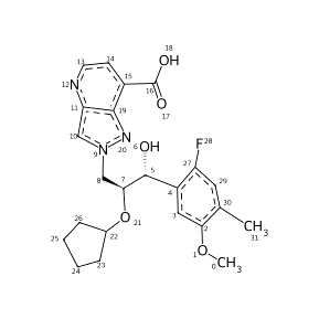 COc1cc([C@@H](O)[C@H](Cn2cc3nccc(C(=O)O)c3n2)OC2CCCC2)c(F)cc1C